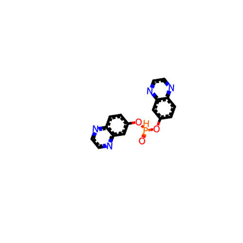 O=[PH](Oc1ccc2nccnc2c1)Oc1ccc2nccnc2c1